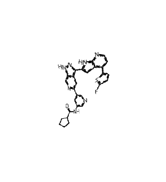 O=C(Nc1cncc(-c2cc3c(-c4cc5c(-c6ccc(F)s6)ccnc5[nH]4)n[nH]c3cn2)c1)C1CCCC1